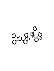 c1ccc(-c2nc(-c3cccc4c3oc3cccc(-c5ccc6c7ccccc7c7ccccc7c6c5)c34)nc(-c3cccc4oc5ccccc5c34)n2)cc1